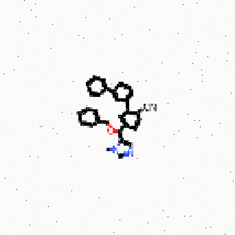 Cn1cncc1C(OCc1ccccc1)c1ccc(C#N)c(-c2cccc(-c3ccccc3)c2)c1